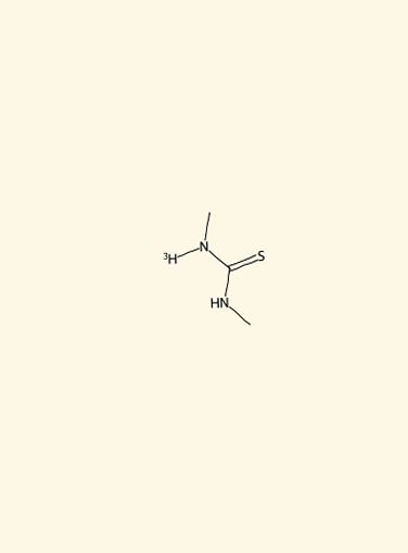 [3H]N(C)C(=S)NC